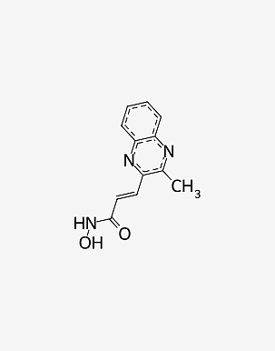 Cc1nc2ccccc2nc1/C=C/C(=O)NO